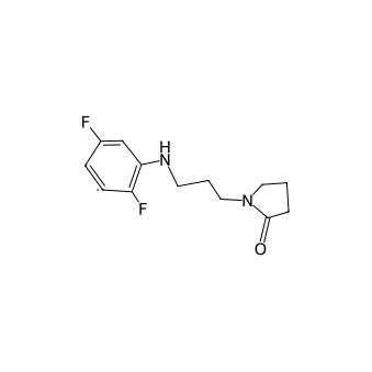 O=C1CCCN1CCCNc1cc(F)c[c]c1F